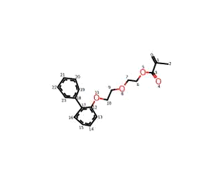 C=C(C)C(=O)OCCOCCOc1ccccc1-c1ccccc1